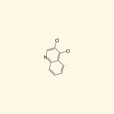 Clc1cnc2ccc[c]c2c1Cl